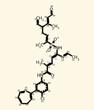 C=CC(C/C=C(\C)S(=O)(=O)NC(=C/C=C(\C)C(=O)Nc1ccc(Cl)c(C2=CCC=CC=N2)c1)/N=C/C)/C(C)=C/C=O